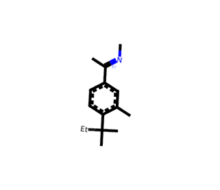 CCC(C)(C)c1ccc(/C(C)=N/C)cc1C